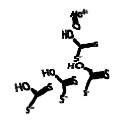 OC(=S)[S-].OC(=S)[S-].OC(=S)[S-].OC(=S)[S-].[O]=[Mo+4]